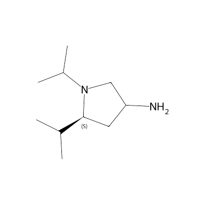 CC(C)[C@@H]1CC(N)CN1C(C)C